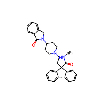 CCCNC(=O)C1(CCN2CCC(N3Cc4ccccc4C3=O)CC2)c2ccccc2-c2ccccc21